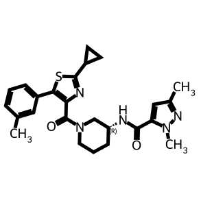 Cc1cccc(-c2sc(C3CC3)nc2C(=O)N2CCC[C@@H](NC(=O)c3cc(C)nn3C)C2)c1